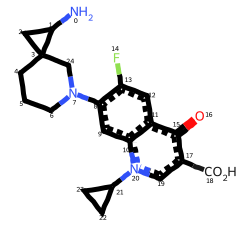 NC1CC12CCCN(c1cc3c(cc1F)c(=O)c(C(=O)O)cn3C1CC1)C2